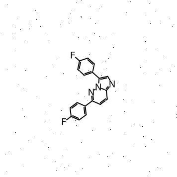 Fc1ccc(-c2ccc3ncc(-c4ccc(F)cc4)n3n2)cc1